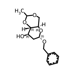 CC1OC[C@H]2O[C@H](OCc3ccccc3)C[C@@H](O)[C@@H]2O1